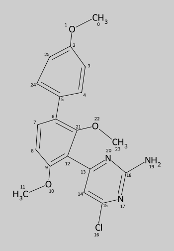 COc1ccc(-c2ccc(OC)c(-c3cc(Cl)nc(N)n3)c2OC)cc1